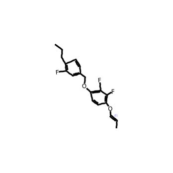 C/C=C/Oc1ccc(OCc2ccc(CCC)c(F)c2)c(F)c1F